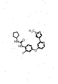 Cn1cc(-c2cc(Oc3ccc(NC(=O)NC4CCCC4)c(F)c3)ccn2)cn1